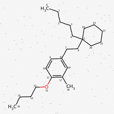 CCCCCC1(CCc2ccc(OCCCC)c(C)c2)CCCCC1